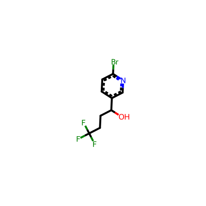 OC(CCC(F)(F)F)c1ccc(Br)nc1